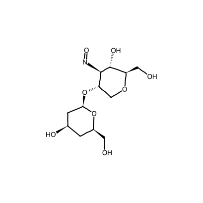 O=N[C@H]1[C@H](O)[C@@H](CO)OC[C@@H]1O[C@@H]1C[C@H](O)C[C@H](CO)O1